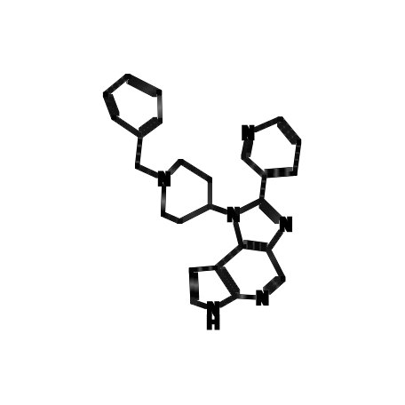 c1ccc(CN2CCC(n3c(-c4cccnc4)nc4cnc5[nH]ccc5c43)CC2)cc1